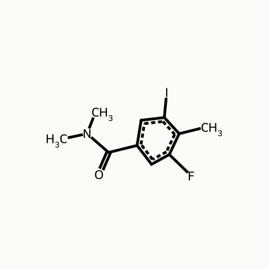 Cc1c(F)cc(C(=O)N(C)C)cc1I